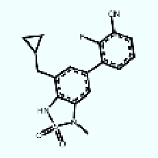 CN1c2cc(-c3cccc(C#N)c3F)cc(CC3CC3)c2NS1(=O)=O